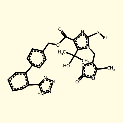 CCSc1nc(C(=O)OCc2ccc(-c3ccccc3-c3nnn[nH]3)cc2)c(C(C)(C)O)n1Cc1oc(=O)oc1C